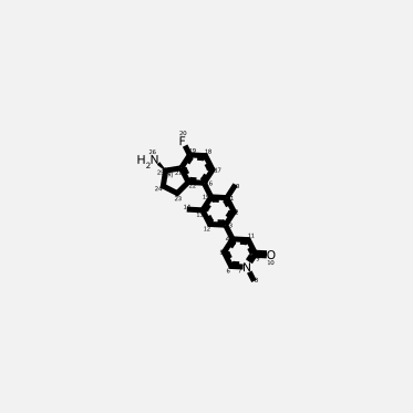 Cc1cc(-c2ccn(C)c(=O)c2)cc(C)c1-c1ccc(F)c2c1CC[C@H]2N